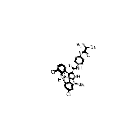 CC[C@H](C)[C@H](N)C(=O)O[C@H]1CC[C@H](NC(=O)[C@@H]2N[C@H](CC(C)(C)C)[C@]3(C(=O)Nc4cc(Cl)ccc43)[C@H]2c2cccc(Cl)c2F)CC1